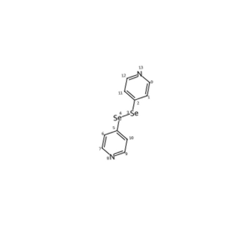 c1cc([Se][Se]c2ccncc2)ccn1